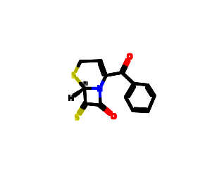 O=C(C1=CCS[C@H]2C(=S)C(=O)N12)c1ccccc1